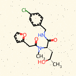 C[C@H](O)C[C@@H](C(=O)NCc1ccc(Cl)cc1)N(C)C(=O)Cc1ccco1